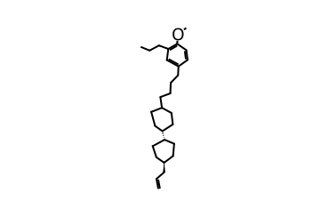 C=CC[C@H]1CC[C@H](C2CCC(CCCCc3ccc(OC)c(CCC)c3)CC2)CC1